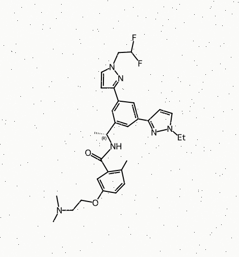 CCn1ccc(-c2cc(-c3ccn(CC(F)F)n3)cc([C@@H](C)NC(=O)c3cc(OCCN(C)C)ccc3C)c2)n1